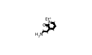 CCn1cccc(CCN)c1=O